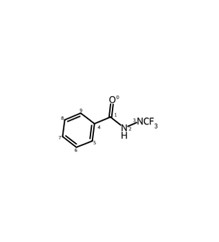 O=C(NNC(F)(F)F)c1ccccc1